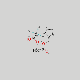 CC(=O)OCC1CCCC1.O=C(O)C(F)(F)F